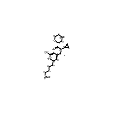 CCC1=CC([C@@H](C)N(C(=O)[C@H]2CNCCO2)C2CC2)=CC(CCCCOC)N1